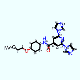 COCCO[C@H]1CC[C@H](NC(=O)c2cc(-n3ccnc3)nc(-n3ccnc3)c2)CC1